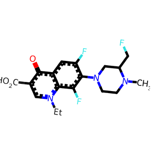 CCn1cc(C(=O)O)c(=O)c2cc(F)c(N3CCN(C)C(CF)C3)c(F)c21